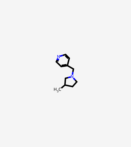 CC1CCN(Cc2ccncc2)C1